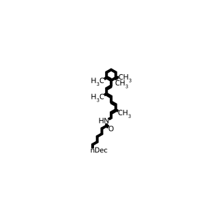 CCCCCCCCCCCCCCCC(=O)NCC=C(C)C=CC=C(C)C=CC1=C(C)CCCC1(C)C